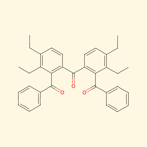 CCc1ccc(C(=O)c2ccc(CC)c(CC)c2C(=O)c2ccccc2)c(C(=O)c2ccccc2)c1CC